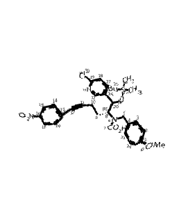 COc1ccc(CN(C(=O)O)[C@H](CCC#Cc2ccc([N+](=O)[O-])cc2)C(O[Si](C)(C)C(C)(C)C)c2ccc(Cl)nc2)cc1